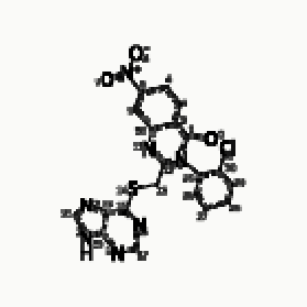 O=c1c2ccc([N+](=O)[O-])cc2nc(CSc2ncnc3[nH]cnc23)n1-c1ccccc1Cl